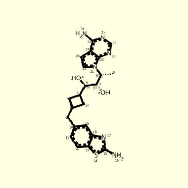 C[C@H]([C@H](O)[C@H](O)C1CC(Cc2ccc3sc(N)nc3c2)C1)n1ccc2c(N)ncnc21